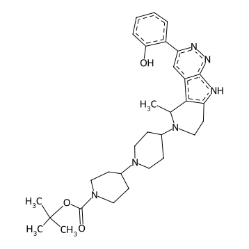 CC1c2c([nH]c3nnc(-c4ccccc4O)cc23)CCN1C1CCN(C2CCN(C(=O)OC(C)(C)C)CC2)CC1